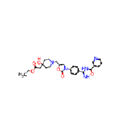 CCOC(=O)CC1(O)CCN(CC2CN(c3ccc(C(=N)NC(=O)c4cccnc4)cc3)C(=O)O2)CC1